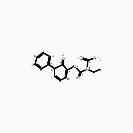 CCN(C(N)=O)C(=O)OC1=CC=CC(c2ccccc2)C1=O